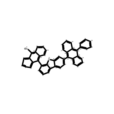 CC(C)(C)c1c2ccccc2c(-c2cccc3c2oc2cc(-c4c5ccccc5c(-c5ccccc5)c5ccccc45)ccc23)c2ccccc12